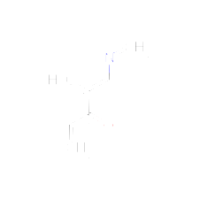 C=CC(=O)/C(C)=C/N=C